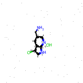 Cl.NCc1cnc2[nH]cc(Cl)c2c1